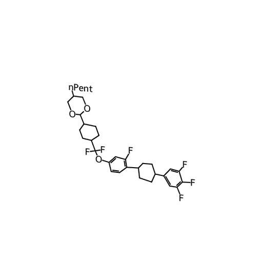 CCCCCC1COC(C2CCC(C(F)(F)Oc3ccc(C4CCC(c5cc(F)c(F)c(F)c5)CC4)c(F)c3)CC2)OC1